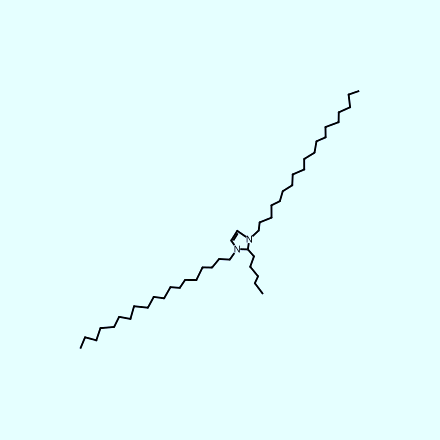 CCCCCCCCCCCCCCCCCCCN1C=CN(CCCCCCCCCCCCCCCCCCC)C1CCCCC